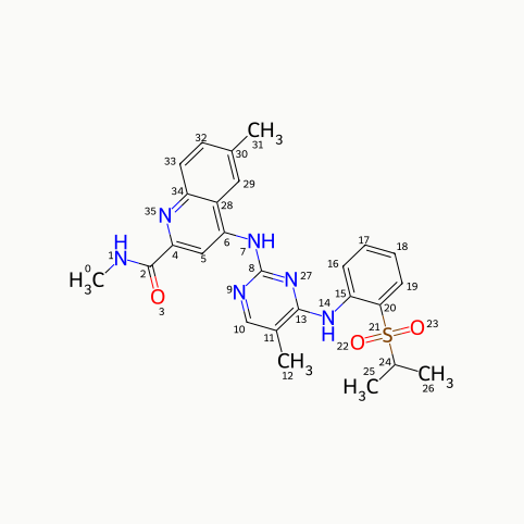 CNC(=O)c1cc(Nc2ncc(C)c(Nc3ccccc3S(=O)(=O)C(C)C)n2)c2cc(C)ccc2n1